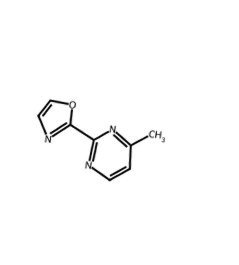 Cc1ccnc(-c2ncco2)n1